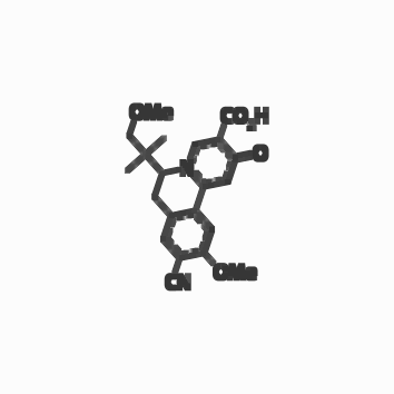 COCC(C)(C)C1Cc2cc(C#N)c(OC)cc2-c2cc(=O)c(C(=O)O)cn21